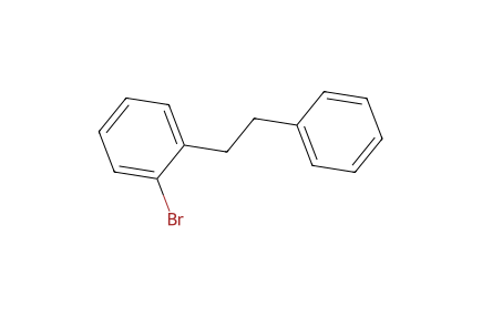 Brc1ccccc1CCc1ccccc1